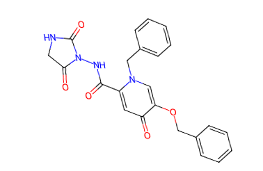 O=C(NN1C(=O)CNC1=O)c1cc(=O)c(OCc2ccccc2)cn1Cc1ccccc1